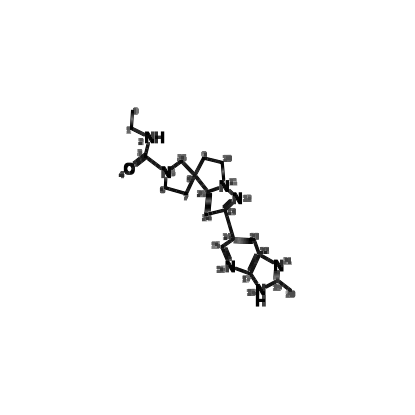 CCNC(=O)N1CCC2(CCn3nc(-c4cnc5[nH]c(C)nc5c4)cc32)C1